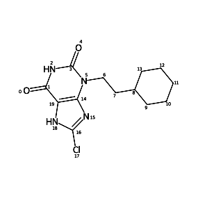 O=c1[nH]c(=O)n(CCC2CCCCC2)c2nc(Cl)[nH]c12